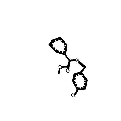 COC(=O)C(/N=C\c1ccc(Cl)cc1)c1ccccc1